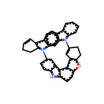 C1=Cc2c(n(-c3ccc4[nH]c5ccc6oc7c(c6c5c4c3)C=C(n3c4ccccc4c4ccccc43)CC7)c3ccccc23)CC1